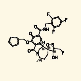 C[C@H]1CC[C@@]2(ON=C(CF)[C@@H]2O)[C@H]2CN1C(=O)c1c(OCc3ccccc3)c(=O)c(C(=O)NCc3c(F)cc(F)cc3F)cn12